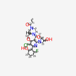 C=CC(=O)N1CCN2C(=O)c3c(N4C[C@@H](O)[C@H]4C)nc(-c4c(O)cccc4F)c(Cl)c3OC[C@H]2C1